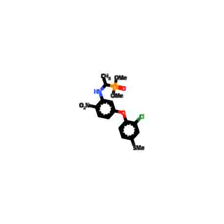 COP(=O)(OC)C(C)Nc1cc(Oc2ccc(SC)cc2Cl)ccc1[N+](=O)[O-]